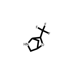 FC(F)(F)C1OC2CNC1C2